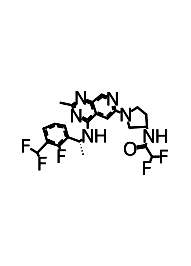 Cc1nc(N[C@H](C)c2cccc(C(F)F)c2F)c2cc(N3CC[C@@H](NC(=O)C(F)F)C3)ncc2n1